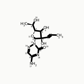 CC#C[C@@]1(O)C(O)[C@@H]([C@@H](C)O)O[C@H]1n1ncc(N)nc1=O